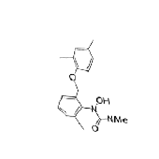 CNC(=O)N(O)c1c(C)cccc1COc1ccc(C)cc1C